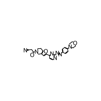 N#CCC(=O)N1CCc2oc(-c3ccnc(N=Nc4ccc(N5CCOCC5)cc4)n3)cc2C1